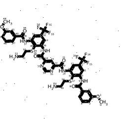 COc1cccc(C(=O)Nc2cc(C(F)(F)F)cc(NC(=O)c3cc(C(=O)Nc4cc(C(F)(F)F)cc(NC(=O)C5=CC(OC)CC=C5)c4SCCN)ncn3)c2SCCN)c1